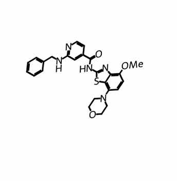 COc1ccc(N2CCOCC2)c2sc(NC(=O)c3ccnc(NCc4ccccc4)c3)nc12